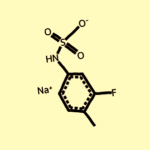 Cc1ccc(NS(=O)(=O)[O-])cc1F.[Na+]